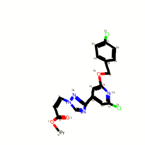 CC(C)OC(=O)/C=C\n1cnc(-c2cc(Cl)nc(OCc3ccc(Cl)cc3)c2)n1